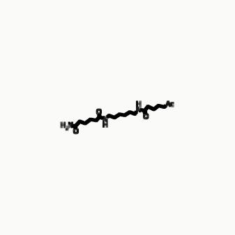 CC(=O)CCCCC(=O)NCCCCCCNC(=O)CCCCC(N)=O